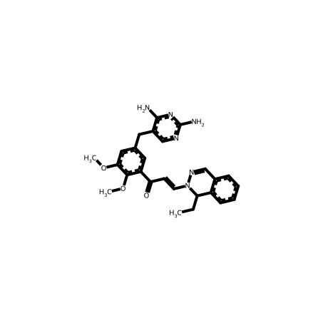 CCC1c2ccccc2C=NN1/C=C/C(=O)c1cc(Cc2cnc(N)nc2N)cc(OC)c1OC